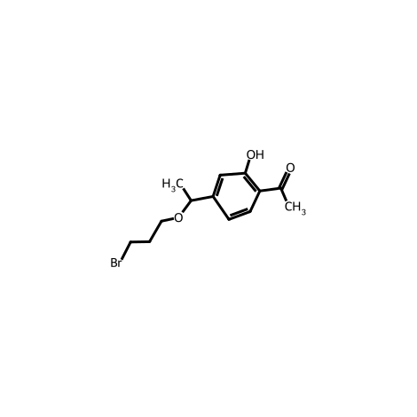 CC(=O)c1ccc(C(C)OCCCBr)cc1O